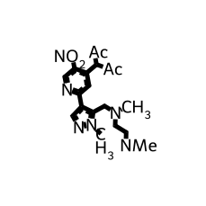 CNCCN(C)Cc1c(-c2cc(C(C(C)=O)C(C)=O)c([N+](=O)[O-])cn2)cnn1C